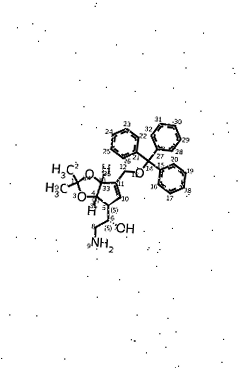 CC1(C)O[C@H]2[C@H]([C@H](O)CN)C=C(COC(c3ccccc3)(c3ccccc3)c3ccccc3)[C@H]2O1